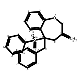 C=C1COc2cc[c]cc2C(Cc2ccccc2)(S(=O)(=O)c2ccccc2)C1